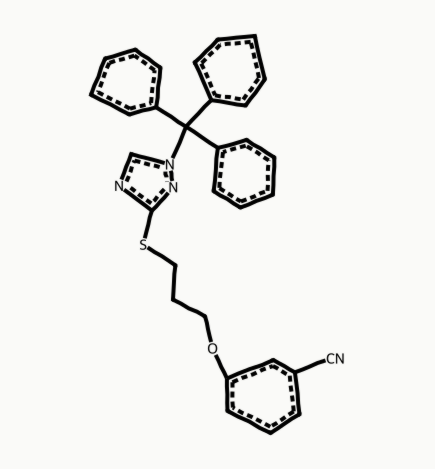 N#Cc1cccc(OCCCSc2ncn(C(c3ccccc3)(c3ccccc3)c3ccccc3)n2)c1